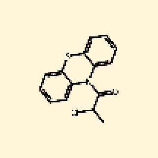 CC(Cl)C(=O)N1c2ccccc2Sc2ccccc21